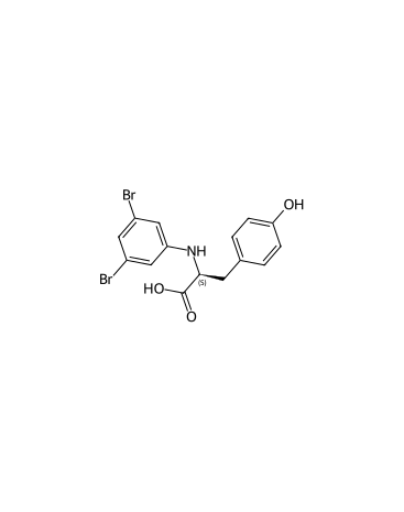 O=C(O)[C@H](Cc1ccc(O)cc1)Nc1cc(Br)cc(Br)c1